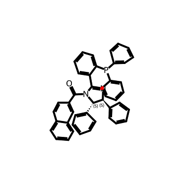 O=C(c1ccc2ccccc2c1)N1C(c2ccccc2P(c2ccccc2)c2ccccc2)=N[C@@H](c2ccccc2)[C@@H]1c1ccccc1